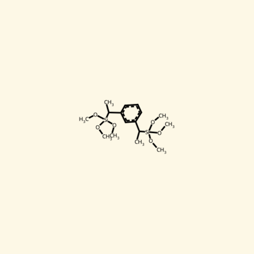 CO[Si](OC)(OC)C(C)c1cccc(C(C)[Si](OC)(OC)OC)c1